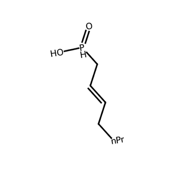 CCCCC=CC[PH](=O)O